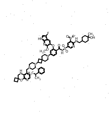 COc1nc2[nH]cc(F)c2cc1Oc1cc(N2CCC3(CC2)CC(N2CCN(Cc4ccnc5c4NCC4(CCC4)O5)C[C@H]2c2ccccc2C(C)C)C3)ccc1C(=O)NS(=O)(=O)c1cnc(NCC2CCC(C)(O)CC2)c([N+](=O)[O-])c1